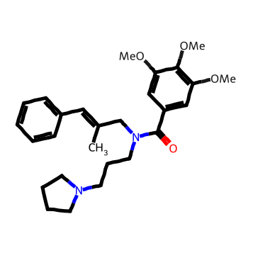 COc1cc(C(=O)N(CCCN2CCCC2)C/C(C)=C/c2ccccc2)cc(OC)c1OC